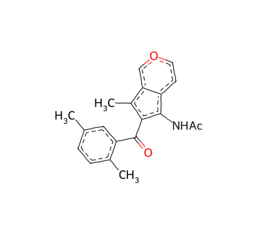 CC(=O)Nc1c2ccocc-2c(C)c1C(=O)c1cc(C)ccc1C